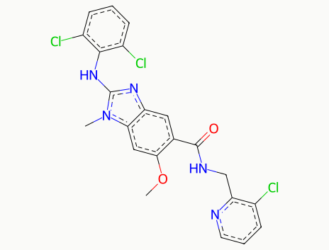 COc1cc2c(cc1C(=O)NCc1ncccc1Cl)nc(Nc1c(Cl)cccc1Cl)n2C